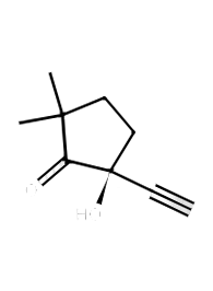 C#C[C@@]1(O)CCC(C)(C)C1=O